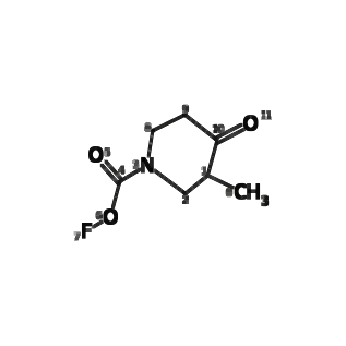 CC1CN(C(=O)OF)CCC1=O